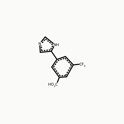 O=C(O)c1cc(-c2cnc[nH]2)cc(C(F)(F)F)c1